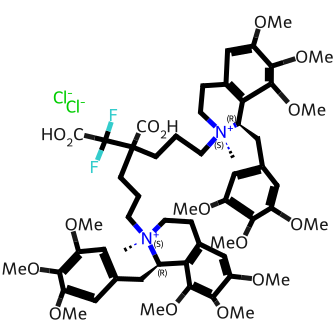 COc1cc(C[C@@H]2c3c(cc(OC)c(OC)c3OC)CC[N@+]2(C)CCCC(CCC[N@@+]2(C)CCc3cc(OC)c(OC)c(OC)c3[C@H]2Cc2cc(OC)c(OC)c(OC)c2)(C(=O)O)C(F)(F)C(=O)O)cc(OC)c1OC.[Cl-].[Cl-]